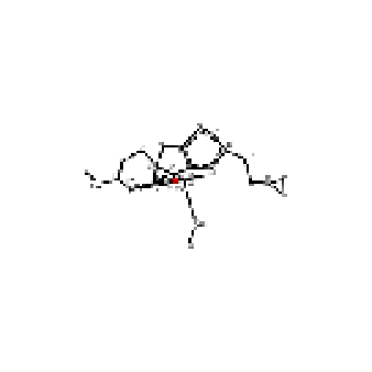 COC1CCC2(CC1)Cc1ccc(CCC3CC3)cc1C21N=C(SC)NC1=O